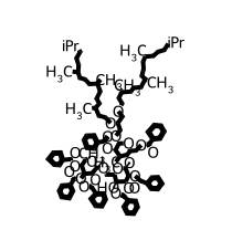 CC(C)CCCC(C)CCCC(C)CCCC(C)CCOCC(CO[C@@H]1OC(COC(=O)c2ccccc2)[C@@H](O[C@@H]2OC(CO[C@@H]3OC(C)[C@H](OC(=O)c4ccccc4)C(OC(=O)c4ccccc4)[C@@H]3OC(=O)c3ccccc3)[C@H](O)C(OC(=O)c3ccccc3)[C@@H]2OC(=O)c2ccccc2)C(C)[C@@H]1OC(=O)c1ccccc1)OCCC(C)CCCC(C)CCCC(C)CCCC(C)C